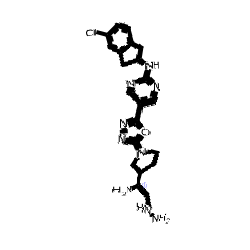 NN/C=C(\N)C1CCN(c2nnc(-c3cnc(NC4Cc5ccc(Cl)cc5C4)nc3)o2)C1